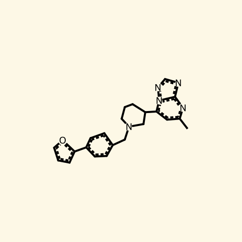 Cc1cc(C2CCCN(Cc3ccc(-c4ccco4)cc3)C2)n2ncnc2n1